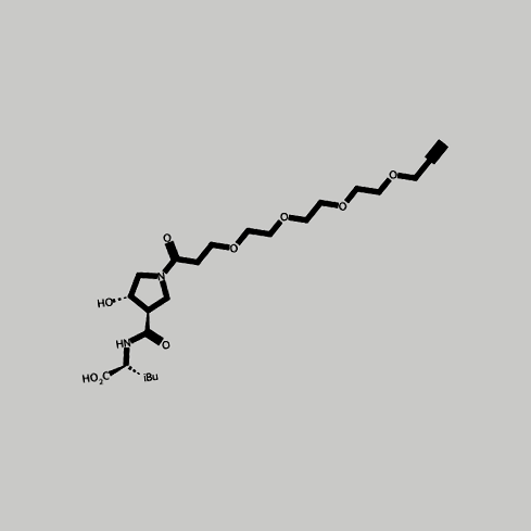 C#CCOCCOCCOCCOCCC(=O)N1C[C@@H](O)[C@H](C(=O)N[C@H](C(=O)O)[C@@H](C)CC)C1